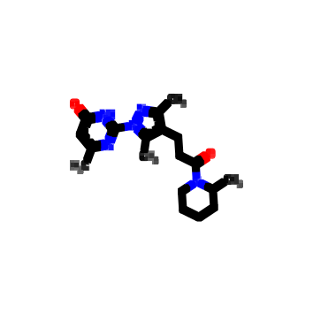 Cc1cc(=O)[nH]c(-n2nc(C)c(CCC(=O)N3CCCCC3C)c2C)n1